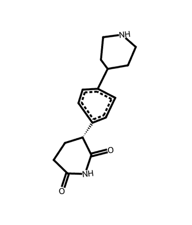 O=C1CC[C@H](c2ccc(C3CCNCC3)cc2)C(=O)N1